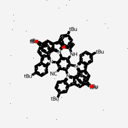 C=C(/C=C\C)Nc1c(-n2c3ccc(C(C)(C)C)cc3c3cc(C(C)(C)C)ccc32)c(-n2c3ccc(C(C)(C)C)cc3c3cc(C(C)(C)C)ccc32)c(C#N)c(-n2c3ccc(C(C)(C)C)cc3c3cc(C(C)(C)C)ccc32)c1-n1c2ccc(C(C)(C)C)cc2c2cc(C(C)(C)C)ccc21